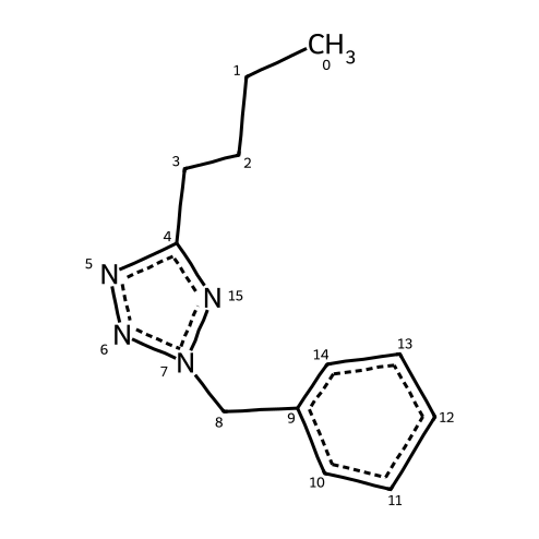 CCCCc1nnn(Cc2ccccc2)n1